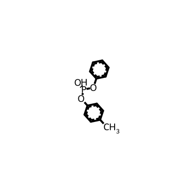 Cc1ccc(O[PH](=O)Oc2ccccc2)cc1